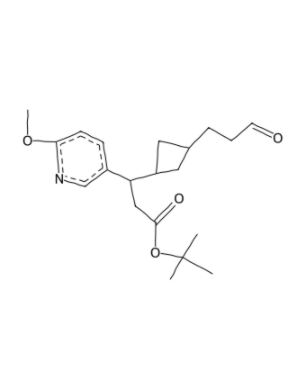 COc1ccc(C(CC(=O)OC(C)(C)C)C2CC(CCC=O)C2)cn1